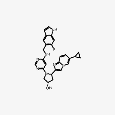 O[C@@H]1CC(c2cn3cc(C4CC4)ccc3n2)N(c2cc(NCc3cc4cc[nH]c4cc3F)ncn2)C1